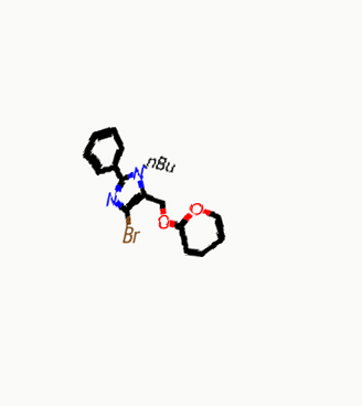 CCCCn1c(-c2ccccc2)nc(Br)c1COC1CCCCO1